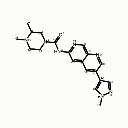 CC1CN(C(=O)Nc2cc3cc(-c4cnn(C)c4)cnc3cn2)CCN1C